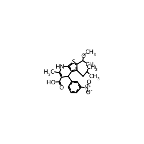 COC(C)c1sc2c(c1CC(C)C)C(c1cccc([N+](=O)[O-])c1)C(C(=O)O)=C(C)N2